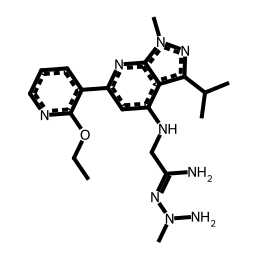 CCOc1ncccc1-c1cc(NC/C(N)=N/N(C)N)c2c(C(C)C)nn(C)c2n1